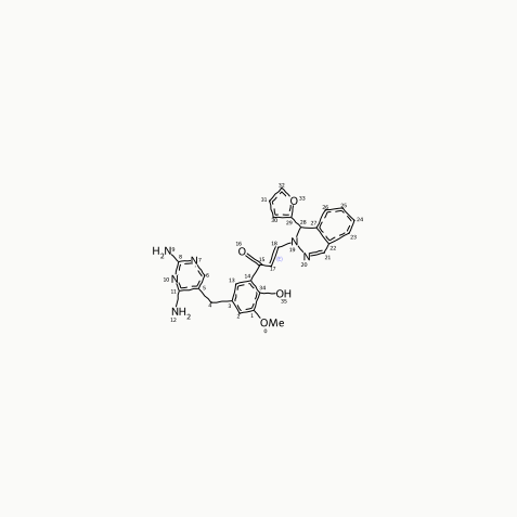 COc1cc(Cc2cnc(N)nc2N)cc(C(=O)/C=C/N2N=Cc3ccccc3C2c2ccco2)c1O